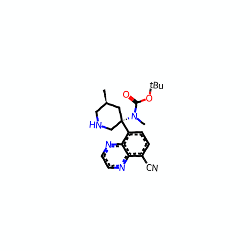 C[C@@H]1CNC[C@@](c2ccc(C#N)c3nccnc23)(N(C)C(=O)OC(C)(C)C)C1